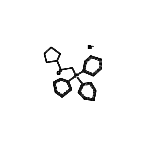 O=C(C[P+](c1ccccc1)(c1ccccc1)c1ccccc1)C1CCCC1.[Br-]